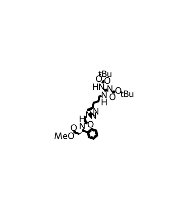 COC(=O)C[C@H](NC(=O)Cn1cc(CCCN/C(=N\C(=O)OC(C)(C)C)NC(=O)OC(C)(C)C)nn1)c1ccccc1